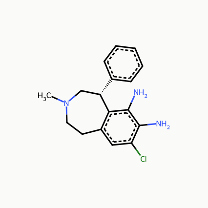 CN1CCc2cc(Cl)c(N)c(N)c2[C@@H](c2ccccc2)C1